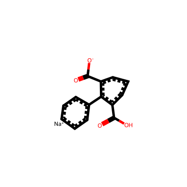 O=C([O-])c1cccc(C(=O)O)c1-c1ccccc1.[Na+]